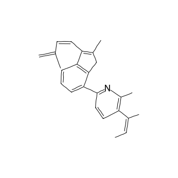 C=C(C)/C=C\C1=C(C)Cc2c1cccc2-c1ccc(/C(C)=C\C)c(C)n1